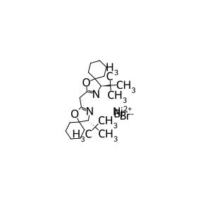 CC(C)(C)[C@H]1N=C(CC2=N[C@H](C(C)(C)C)C3(CCCCC3)O2)OC12CCCCC2.[Br-].[Br-].[Ni+2]